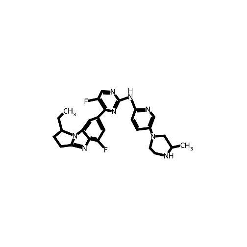 CCC1CCc2nc3c(F)cc(-c4nc(Nc5ccc(N6CCNC(C)C6)cn5)ncc4F)cc3n21